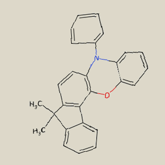 CC1(C)c2ccccc2-c2c1ccc1c2Oc2ccccc2N1c1ccccc1